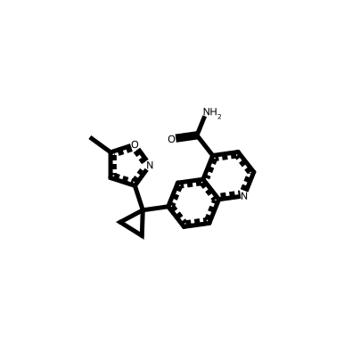 Cc1cc(C2(c3ccc4nccc(C(N)=O)c4c3)CC2)no1